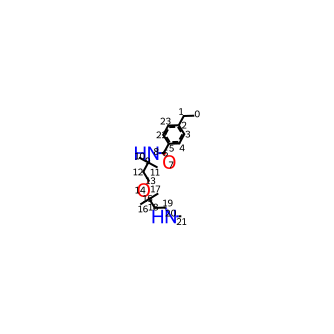 CCc1ccc(C(=O)NC(C)(C)CCOC(C)(C)CCNC)cc1